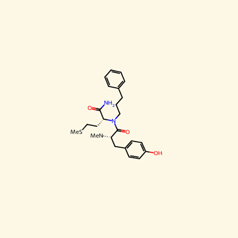 CN[C@@H](Cc1ccc(O)cc1)C(=O)N(CCCc1ccccc1)[C@H](CCSC)C(N)=O